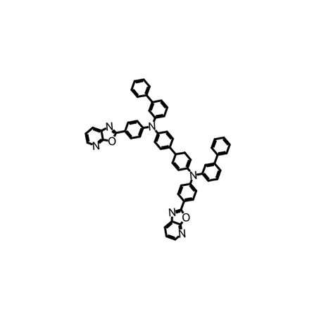 C1=CC(c2ccc(N(c3ccc(-c4nc5cccnc5o4)cc3)c3cccc(-c4ccccc4)c3)cc2)CC=C1N(c1ccc(-c2nc3cccnc3o2)cc1)c1cccc(-c2ccccc2)c1